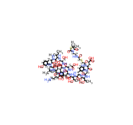 CC[C@H](C)[C@H](NC(=O)[C@H](CO)NC(=O)[C@H](Cc1ccc(O)cc1)NC(=O)[C@H](CC(=O)O)NC(=O)[C@H](CO)NC(=O)[C@@H](NC(=O)[C@H](Cc1ccccc1)NC(=O)[C@@H](NC(=O)CNC(=O)[C@H](CCC(=O)O)NC(=O)CSCC(=O)NCCN1C(=O)SC(C)(C)C1=O)[C@@H](C)O)[C@@H](C)O)C(=O)N[C@@H](Cc1ccc(O)cc1)C(=O)N[C@@H](CC(C)C)C(=O)N[C@@H](CC(=O)O)C(=O)N[C@H](C)CCCCN